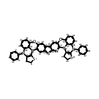 c1ccc(N2C3=C(SCC3)B3c4cc5sc6nc7c(cc6c5cc4Oc4cccc2c43)Oc2cccc3c2B7C2=C(SCC2)N3c2ccccc2)cc1